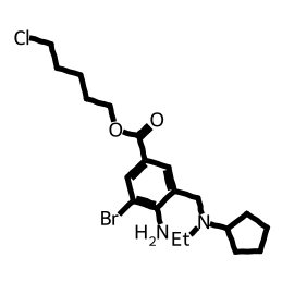 CCN(Cc1cc(C(=O)OCCCCCCl)cc(Br)c1N)C1CCCC1